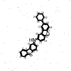 c1ccc2c(c1)sc1ccc(Nc3ccc4oc5ccc(C6CCCCC6)cc5c4c3)cc12